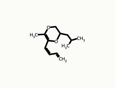 C=C/C=C\C1=C(C)OCC(CC(C)C)O1